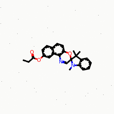 CCC(=O)Oc1ccc2ccc3c(c2c1)N=CC1(O3)N(C)c2ccccc2C1(C)C